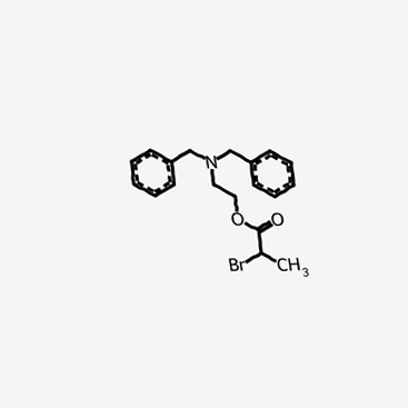 CC(Br)C(=O)OCCN(Cc1ccccc1)Cc1ccccc1